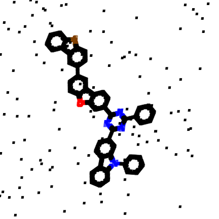 c1ccc(-c2nc(-c3ccc4c(c3)oc3ccc(-c5ccc6sc7ccccc7c6c5)cc34)nc(-c3ccc4c5ccccc5n(-c5ccccc5)c4c3)n2)cc1